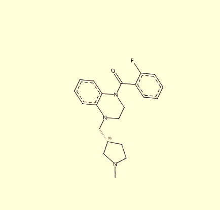 CN1CC[C@@H](CN2CCN(C(=O)c3ccccc3F)c3ccccc32)C1